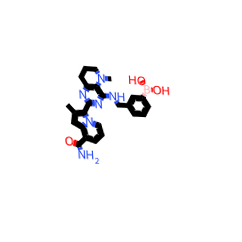 Cc1cc2c(C(N)=O)cccn2c1-c1nc2c(c(NCc3cccc(B(O)O)c3)n1)N(C)CCC2